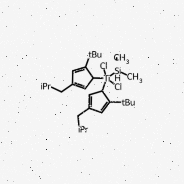 CC(C)CC1=C[CH]([Ti]([Cl])([Cl])([CH]2C=C(CC(C)C)C=C2C(C)(C)C)[SiH](C)C)C(C(C)(C)C)=C1